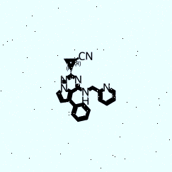 N#C[C@@H]1C[C@H]1c1nc(NCc2ccccn2)c2c(-c3ccccc3)ccn2n1